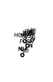 C[C@@H]1[C@@H](NC(=O)[C@@H]2[C@H]([C@H](C)O)[C@H](CO)ON2Cc2cc(F)cc(-c3cc(C(=O)N[C@@H](Cc4ccccc4)CN(C)C)cc(N(C)C)c3)c2OCCN2CCOCC2)C[C@H]2C[C@@H]1C2(C)C